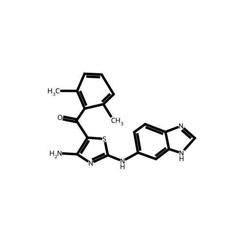 Cc1cccc(C)c1C(=O)c1sc(Nc2ccc3nc[nH]c3c2)nc1N